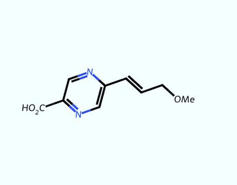 COCC=Cc1cnc(C(=O)O)cn1